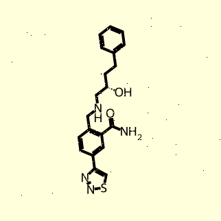 NC(=O)c1cc(-c2csnn2)ccc1CNC[C@@H](O)[CH]Cc1ccccc1